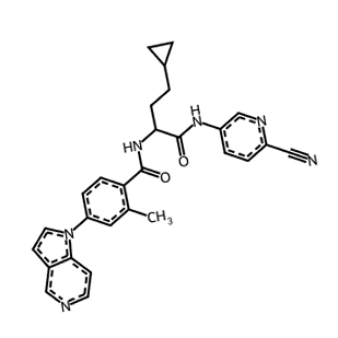 Cc1cc(-n2ccc3cnccc32)ccc1C(=O)NC(CCC1CC1)C(=O)Nc1ccc(C#N)nc1